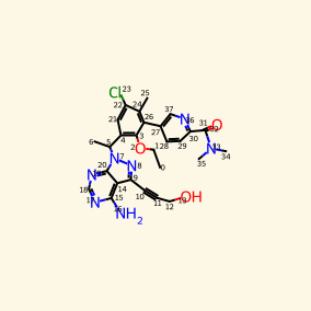 CCOc1c(C(C)n2nc(C#CCO)c3c(N)ncnc32)cc(Cl)c(C)c1-c1ccc(C(=O)N(C)C)nc1